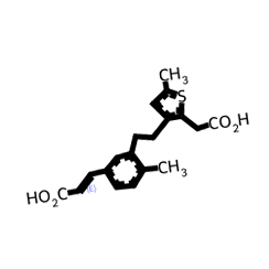 Cc1cc(CCc2cc(/C=C/C(=O)O)ccc2C)c(CC(=O)O)s1